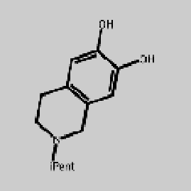 CCCC(C)N1CCc2cc(O)c(O)cc2C1